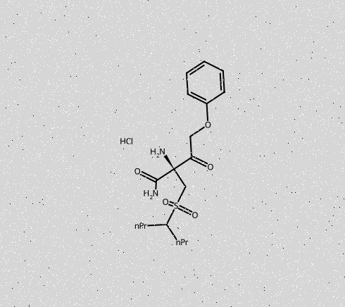 CCCC(CCC)S(=O)(=O)C[C@](N)(C(N)=O)C(=O)COc1ccccc1.Cl